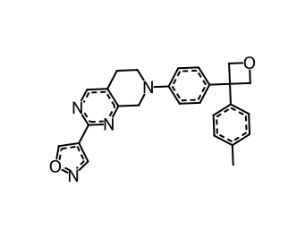 Cc1ccc(C2(c3ccc(N4CCc5cnc(-c6cnoc6)nc5C4)cc3)COC2)cc1